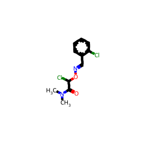 CN(C)C(=O)C(Cl)ON=Cc1ccccc1Cl